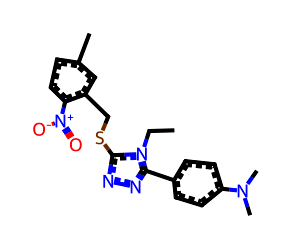 CCn1c(SCc2cc(C)ccc2[N+](=O)[O-])nnc1-c1ccc(N(C)C)cc1